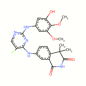 COc1cc(Nc2ncc(F)c(Nc3ccc4c(c3)C(=O)NC(=O)C4(C)C)n2)cc(O)c1OC